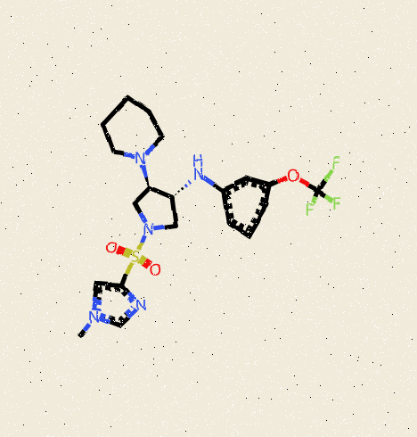 Cn1cnc(S(=O)(=O)N2C[C@@H](N3CCCCC3)[C@H](Nc3cccc(OC(F)(F)F)c3)C2)c1